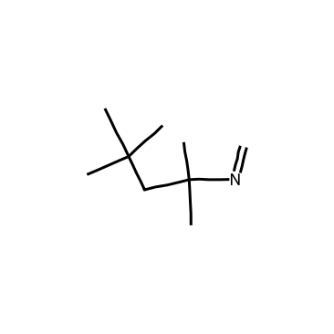 C=NC(C)(C)CC(C)(C)C